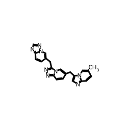 Cc1ccc2ncc(Cc3ccc4nnc(Cc5ccc6ncnn6c5)n4c3)n2c1